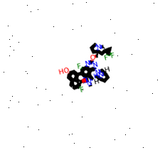 C#Cc1c(F)ccc2cc(O)cc(-c3c(F)c4nc(OC[C@@]56CCCN5C[C@@]5(CC5(F)F)C6)nc(N5C[C@H]6CC[C@@H](C5)N6)c4c4cn(C)nc34)c12